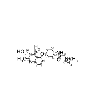 Cc1nc2cccc(O[C@H]3CC[C@H](NC(=O)CN(C)C)CC3)c2c(N)c1C(=O)O